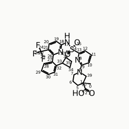 C[C@@]1(C(=O)O)CCCN(c2cccc(S(=O)(=O)Nc3ccc(C(F)(F)F)c(-c4ccccc4C4CCC4)n3)n2)C1